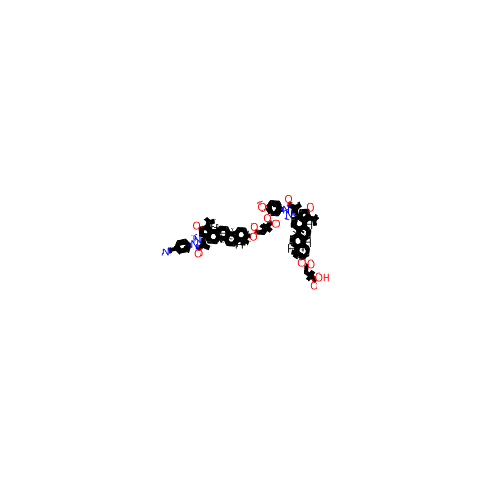 COc1ccc(-n2c(=O)c(C)c([C@@]34CC[C@]5(C)[C@H](CC[C@@H]6[C@@]7(C)CC[C@H](OC(=O)CC(C)(C)C(=O)O)C(C)(C)[C@@H]7CC[C@]65C)C3=C(C(C)C)C(=O)C4)n2C)cc1OC(=O)C(C)(C)CC(=O)O[C@H]1CC[C@]2(C)[C@H]3CC[C@@H]4C5=C(C(C)C)C(=O)C[C@]5(c5c(C)c(=O)n(-c6ccc(C#N)cc6)n5C)CC[C@@]4(C)[C@]3(C)CC[C@H]2C1(C)C